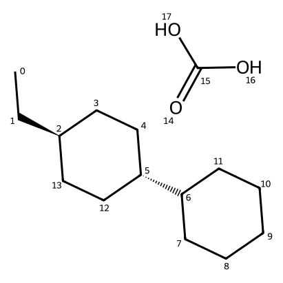 CC[C@H]1CC[C@H](C2CCCCC2)CC1.O=C(O)O